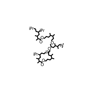 CC(C)CCC(CC(C)C(C)C(=O)OCCCC(C)C(C)CCCOC(COCCC(C)C(C)CCCOC(=O)C(C)C(C)CC(CCC(C)C)C(C)C)CC(C)C(C)CN(C)C)C(C)C